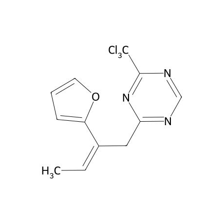 CC=C(Cc1ncnc(C(Cl)(Cl)Cl)n1)c1ccco1